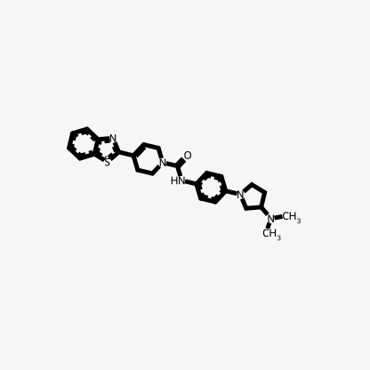 CN(C)C1CCN(c2ccc(NC(=O)N3CC=C(c4nc5ccccc5s4)CC3)cc2)C1